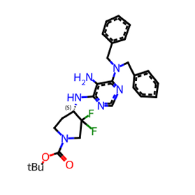 CC(C)(C)OC(=O)N1CC[C@H](Nc2ncnc(N(Cc3ccccc3)Cc3ccccc3)c2N)C(F)(F)C1